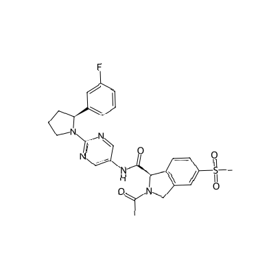 CC(=O)N1Cc2cc(S(C)(=O)=O)ccc2[C@@H]1C(=O)Nc1cnc(N2CCC[C@H]2c2cccc(F)c2)nc1